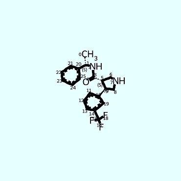 C[C@H](NC(=O)[C@@H]1CNC[C@H]1c1cccc(C(F)(F)F)c1)c1ccccc1